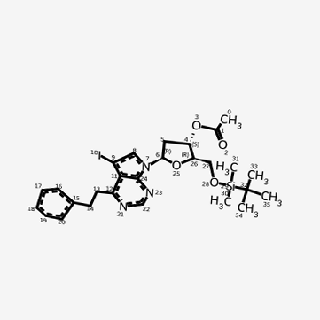 CC(=O)O[C@H]1C[C@H](n2cc(I)c3c(CCc4ccccc4)ncnc32)O[C@@H]1CO[Si](C)(C)C(C)(C)C